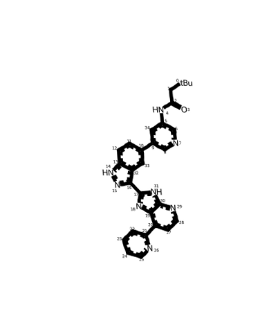 CC(C)(C)CC(=O)Nc1cncc(-c2ccc3[nH]nc(-c4nc5c(-c6ccccn6)ccnc5[nH]4)c3c2)c1